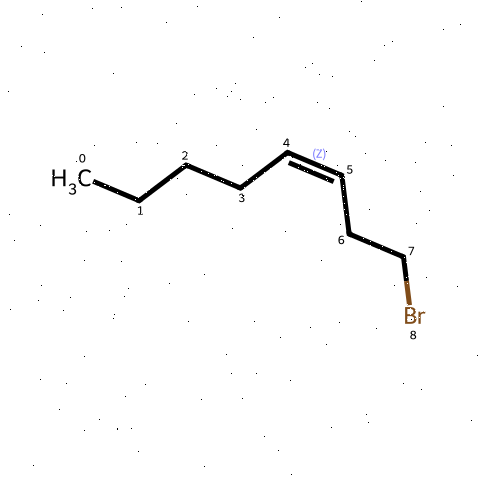 CCCC/C=C\CCBr